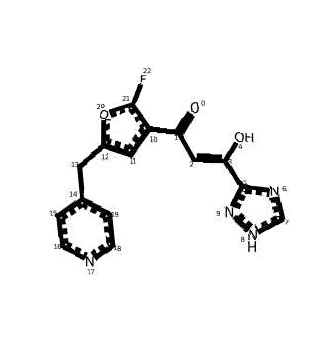 O=C(C=C(O)c1nc[nH]n1)c1cc(Cc2ccncc2)oc1F